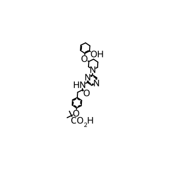 CC(C)(Oc1ccc(CC(=O)Nc2cncc(N3CCCC(OC4=C(O)CCC=C4)C3)n2)cc1)C(=O)O